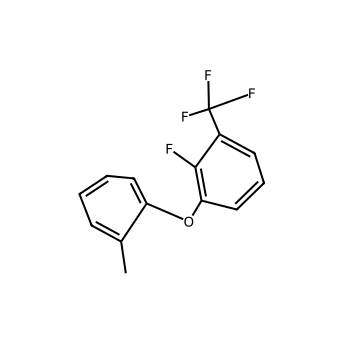 Cc1ccccc1Oc1cccc(C(F)(F)F)c1F